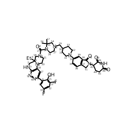 CCC12CNc3nnc(-c4cc(F)cc(F)c4O)cc3N1CCN(C(=O)N1CCN(CC3CCN(c4ccc5c(c4)C(=O)N(C4CCC(=O)NC4=O)C5)CC3)CC1(C)C)C2